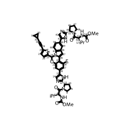 COC(=O)N[C@H](C(=O)N1CCC[C@H]1c1ncc(-c2cc(F)c3c(c2)OC(c2ccc(C#CC4CC4)s2)n2c-3cc3cc(-c4cnc([C@@H]5CCCN5C(=O)[C@@H](NC(=O)OC)C(C)C)[nH]4)ccc32)[nH]1)C(C)C